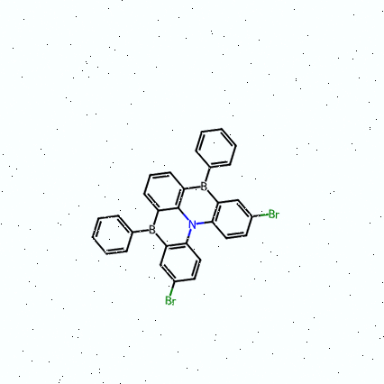 Brc1ccc2c(c1)B(c1ccccc1)c1cccc3c1N2c1ccc(Br)cc1B3c1ccccc1